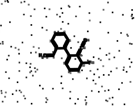 C=Cc1ccccc1C1=CC=CC(F)C1=C=O